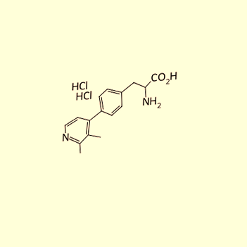 Cc1nccc(-c2ccc(CC(N)C(=O)O)cc2)c1C.Cl.Cl